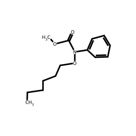 CCCCCCON(C(=O)OC)c1ccccc1